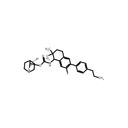 CCCc1ccc(-c2cc3c(cc2F)C(NC(=O)O[C@H]2CN4CCC2CC4)C(C)(C)CC3)cc1